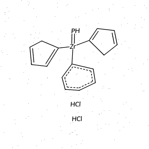 Cl.Cl.[PH]=[Zr]([C]1=CC=CC1)([C]1=CC=CC1)[c]1ccccc1